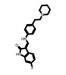 O=C1Nc2cc(F)ccc2C1=CNc1ccc(CCN2CCCCC2)cc1